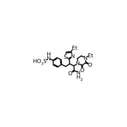 CCc1csc(C(Cc2ccc(NS(=O)(=O)O)cc2)C(C(N)=O)N2CCN(CC)C(=O)C2=O)n1